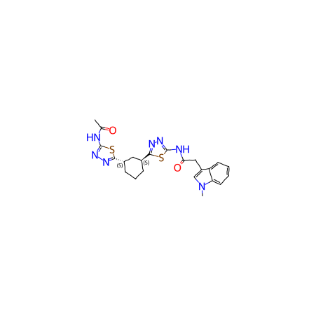 CC(=O)Nc1nnc([C@H]2CCC[C@H](c3nnc(NC(=O)Cc4cn(C)c5ccccc45)s3)C2)s1